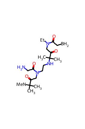 BCC(=O)N(CC)CC(=O)C(C)(C)NCCN(CC(=O)C(C)(C)NC)C(=O)CN